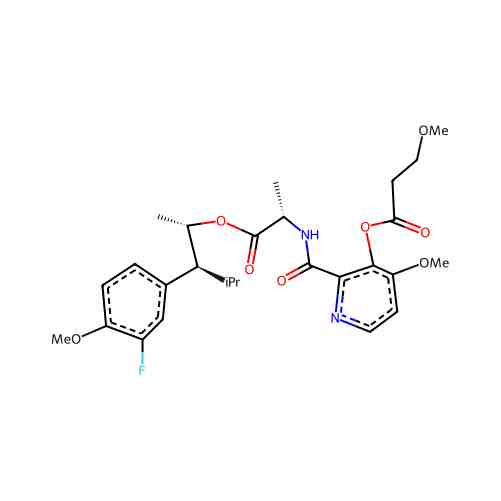 COCCC(=O)Oc1c(OC)ccnc1C(=O)N[C@@H](C)C(=O)O[C@@H](C)[C@H](c1ccc(OC)c(F)c1)C(C)C